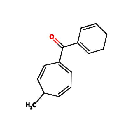 CC1C=CC=C(C(=O)C2=CCCC=C2)C=C1